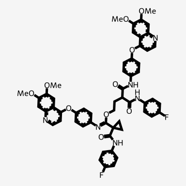 COc1cc2nccc(Oc3ccc(/N=C(\OCCC(C(=O)Nc4ccc(F)cc4)C(=O)Nc4ccc(Oc5ccnc6cc(OC)c(OC)cc56)cc4)C4(C(=O)Nc5ccc(F)cc5)CC4)cc3)c2cc1OC